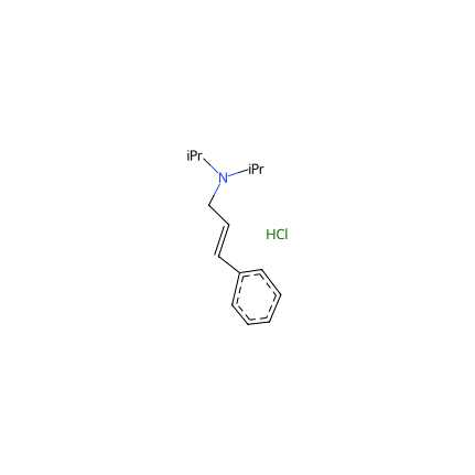 CC(C)N(CC=Cc1ccccc1)C(C)C.Cl